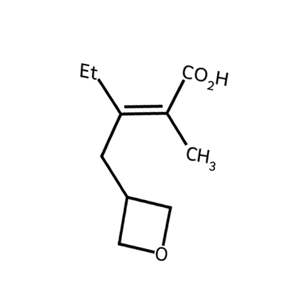 CCC(CC1COC1)=C(C)C(=O)O